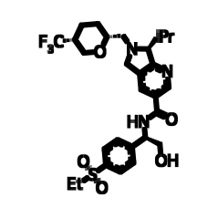 CCS(=O)(=O)c1ccc([C@H](CO)NC(=O)c2cnc3c(c2)CN(C[C@H]2CC[C@@H](C(F)(F)F)CO2)[C@H]3C(C)C)cc1